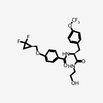 O=C(N[C@@H](Cc1ccc(OC(F)(F)F)cc1)C(=O)NCCO)c1ccc(OC[C@H]2CC2(F)F)cc1